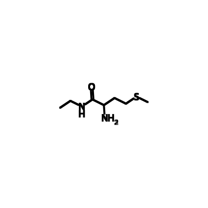 CCNC(=O)C(N)CCSC